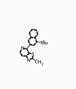 Cc1nc2ccnc(-c3cc(C(C)(C)C)c4ccccc4c3)c2s1